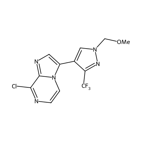 COCn1cc(-c2cnc3c(Cl)nccn23)c(C(F)(F)F)n1